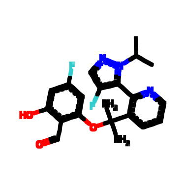 BC(B)(Oc1cc(F)cc(O)c1C=O)c1cccnc1-c1c(F)cnn1C(C)C